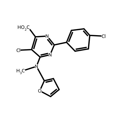 CN(c1ccco1)c1nc(-c2ccc(Cl)cc2)nc(C(=O)O)c1Cl